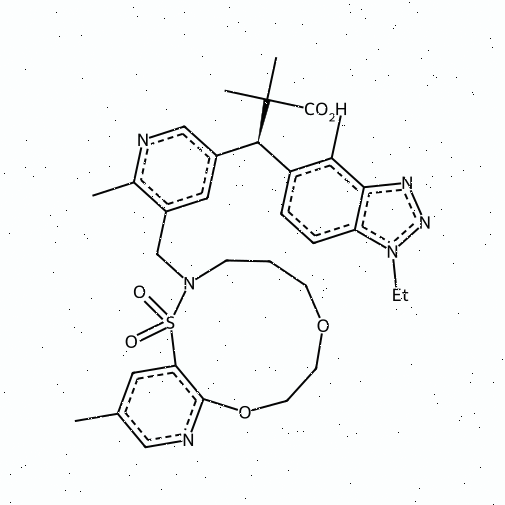 CCn1nnc2c(C)c([C@@H](c3cnc(C)c(CN4CCCOCCOc5ncc(C)cc5S4(=O)=O)c3)C(C)(C)C(=O)O)ccc21